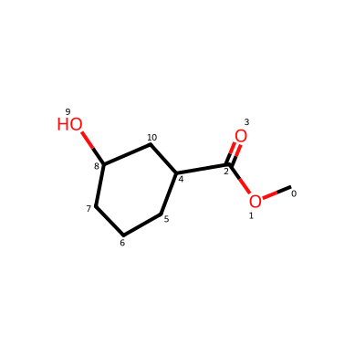 COC(=O)C1CCCC(O)C1